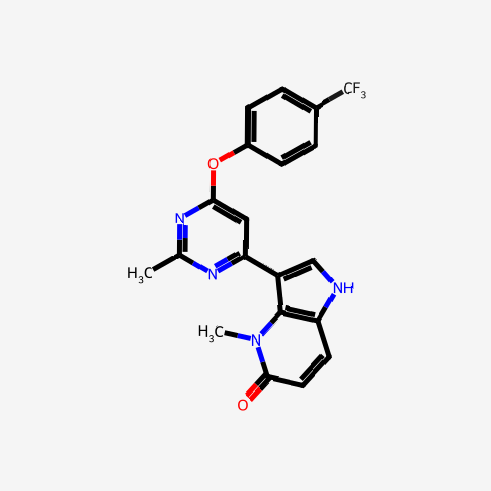 Cc1nc(Oc2ccc(C(F)(F)F)cc2)cc(-c2c[nH]c3ccc(=O)n(C)c23)n1